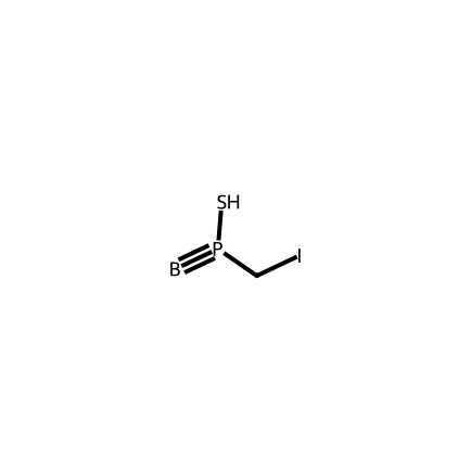 B#P(S)CI